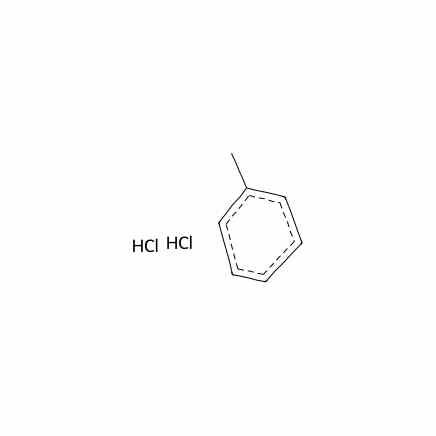 Cc1ccccc1.Cl.Cl